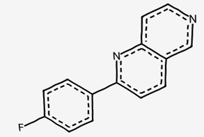 Fc1ccc(-c2ccc3cnccc3n2)cc1